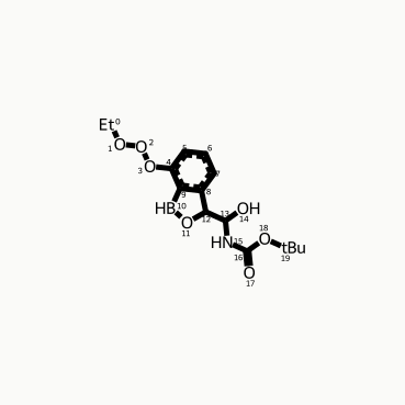 CCOOOc1cccc2c1BOC2C(O)NC(=O)OC(C)(C)C